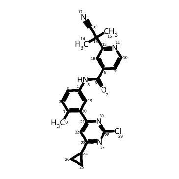 Cc1ccc(NC(=O)c2ccnc(C(C)(C)C#N)c2)cc1-c1cc(C2CC2)nc(Cl)n1